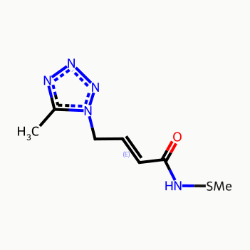 CSNC(=O)/C=C/Cn1nnnc1C